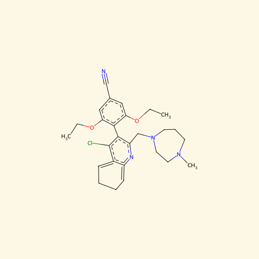 CCOc1cc(C#N)cc(OCC)c1-c1c(CN2CCCN(C)CC2)nc2c(c1Cl)=CCCC=2